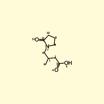 CC(CC(=O)O)CN1CCCC1=O